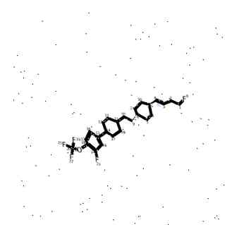 FCC/C=C/[C@H]1CC[C@H](CCC2CCC(c3ccc(OC(F)(F)F)c(F)c3)CC2)CC1